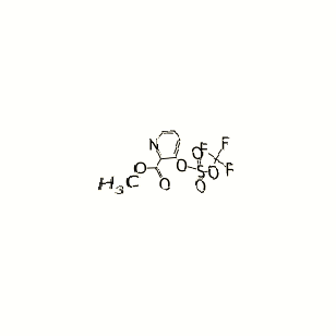 COC(=O)c1ncccc1OS(=O)(=O)OC(F)(F)F